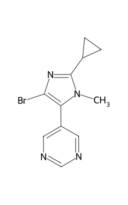 Cn1c(C2CC2)nc(Br)c1-c1cncnc1